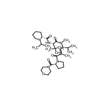 C/C(=C\[C@H](C(C)C)N(C)C(=O)[C@@H](NC(=O)[C@H]1CCCCN1C(C)C)C(C)(C)C)C(=O)N1CCC[C@H]1C(=O)N1CCOCC1